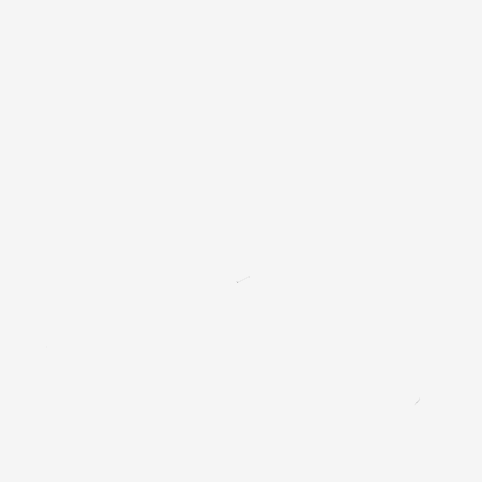 CCCCCCCCCCCCCCCCCCC(CCCCCCCCCCCCCCCCCC(=O)O)(C(=O)O)C(CCCCCCCCCCCCC)CCCCCCCCCCCCCCCC